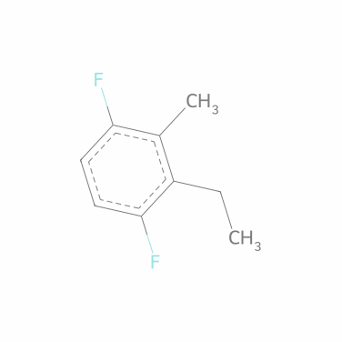 CCc1c(F)ccc(F)c1C